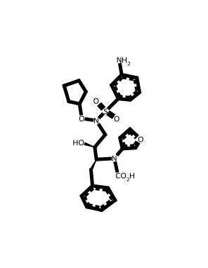 Nc1cccc(S(=O)(=O)N(C[C@H](O)[C@H](Cc2ccccc2)N(C(=O)O)c2ccoc2)OC2CCCC2)c1